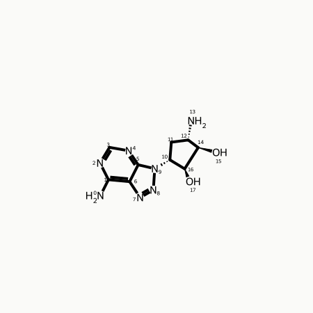 Nc1ncnc2c1nnn2[C@@H]1C[C@H](N)[C@@H](O)[C@H]1O